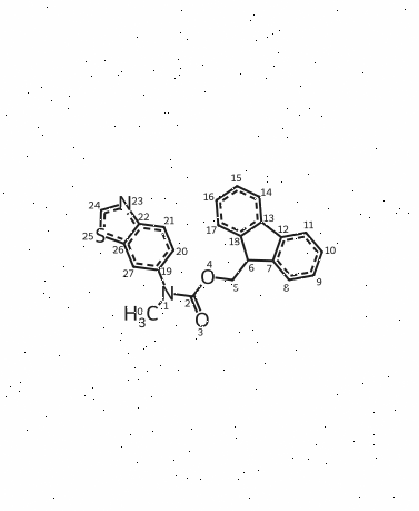 CN(C(=O)OCC1c2ccccc2-c2ccccc21)c1ccc2ncsc2c1